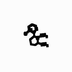 NC1CCCC(c2nccc[n+]2[O-])N1N